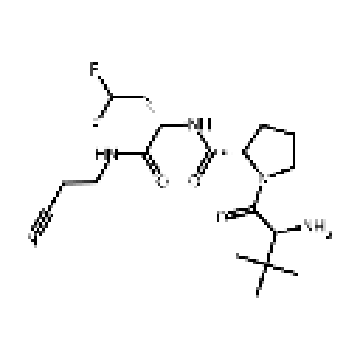 CC(C)(C)[C@H](N)C(=O)N1CCC[C@H]1C(=O)N[C@@H](CC(F)F)C(=O)NCCC#N